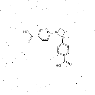 O=C(O)c1ccc([C@@H]2CC[C@H]2c2ccc(C(=O)O)cc2)cc1